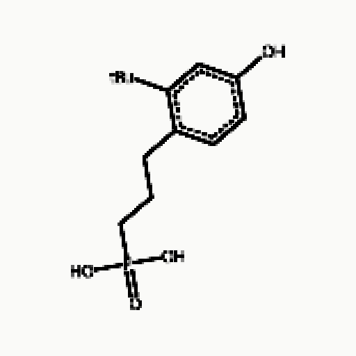 CC(C)(C)c1cc(O)ccc1CCCP(=O)(O)O